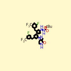 CC(C)(C)OC(=O)NNc1cccc(Cc2cc(F)cc(C(F)(F)F)c2)c1.O=C1NCCc2c1cnn2-c1cccc(Cc2cc(F)cc(C(F)(F)F)c2)c1